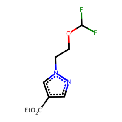 CCOC(=O)c1cnn(CCOC(F)F)c1